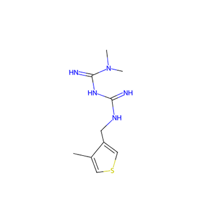 Cc1cscc1CNC(=N)NC(=N)N(C)C